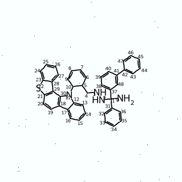 NC(NNCC1C=CC=CC1n1c2ccccc2c2ccc3sc4ccccc4c3c21)(c1ccccc1)c1cccc(-c2ccccc2)c1